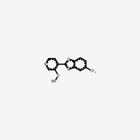 CCC(C)Oc1cnccc1-c1nc2cc(C(F)(F)F)ccc2o1